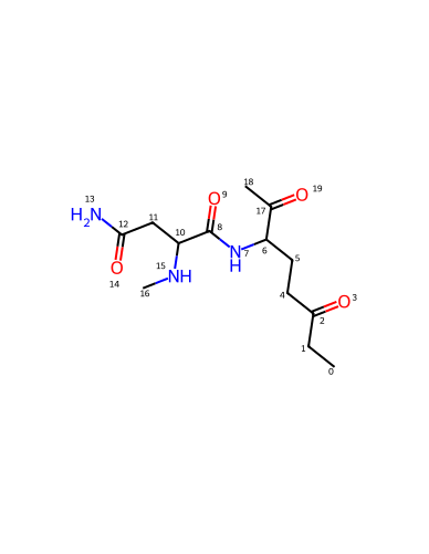 CCC(=O)CCC(NC(=O)C(CC(N)=O)NC)C(C)=O